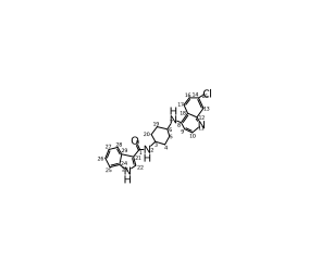 O=C(NC1CCC(Nc2ccnc3cc(Cl)ccc23)CC1)c1c[nH]c2ccccc12